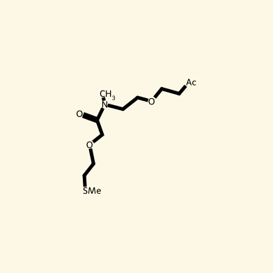 CSCCOCC(=O)N(C)CCOCCC(C)=O